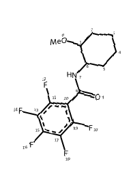 COC1CCCCC1NC(=O)c1c(F)c(F)c(F)c(F)c1F